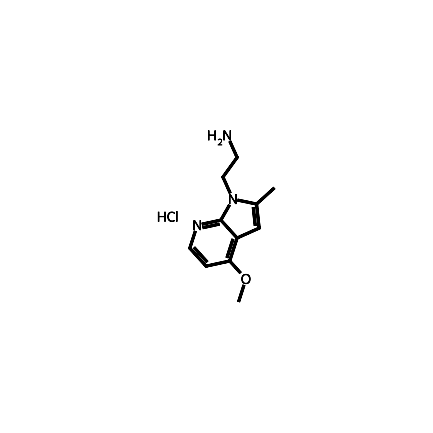 COc1ccnc2c1cc(C)n2CCN.Cl